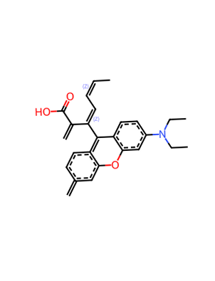 C=C(C(=O)O)/C(=C\C=C/C)C1=c2ccc(=C)cc2Oc2cc(N(CC)CC)ccc21